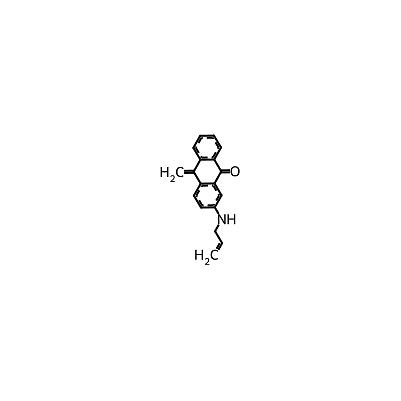 C=CCNc1ccc2c(c1)C(=O)c1ccccc1C2=C